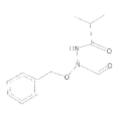 CC(C)C(=O)NN(C=O)OCc1ccccc1